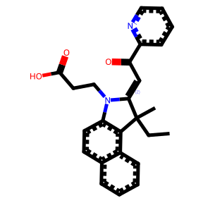 CCC1(C)/C(=C/C(=O)c2ccccn2)N(CCC(=O)O)c2ccc3ccccc3c21